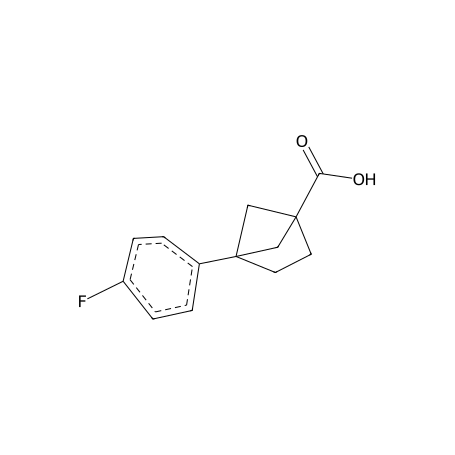 O=C(O)C12CCC(c3ccc(F)cc3)(C1)C2